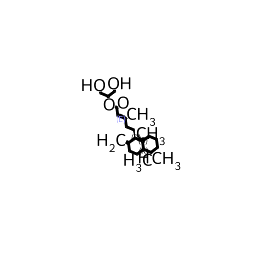 C=C1CC[C@@H]2C(C)(C)CCC[C@]2(C)[C@@H]1CC/C(C)=C/C(=O)OC(CO)CO